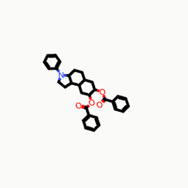 O=C(OC1CC2CCC3C(CCN3c3ccccc3)C2CC1OC(=O)c1ccccc1)c1ccccc1